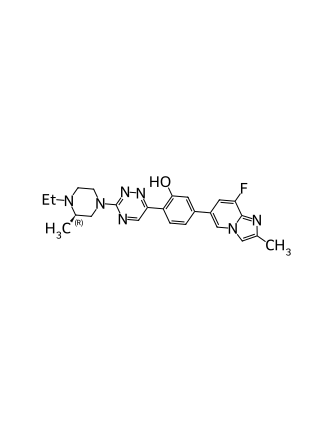 CCN1CCN(c2ncc(-c3ccc(-c4cc(F)c5nc(C)cn5c4)cc3O)nn2)C[C@H]1C